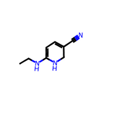 CCNC1=CC=C(C#N)CN1